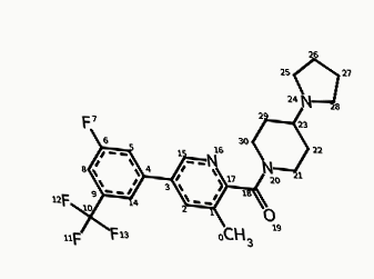 Cc1cc(-c2cc(F)cc(C(F)(F)F)c2)cnc1C(=O)N1CCC(N2CCCC2)CC1